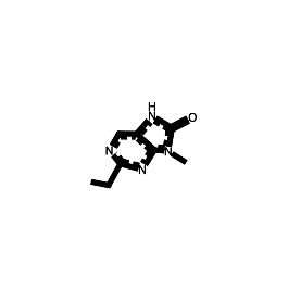 CCc1ncc2[nH]c(=O)n(C)c2n1